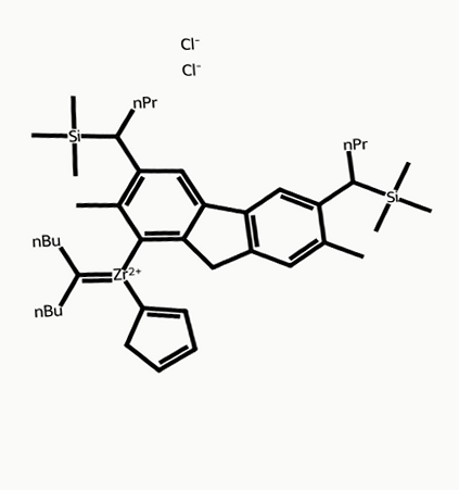 CCCC[C](CCCC)=[Zr+2]([C]1=CC=CC1)[c]1c(C)c(C(CCC)[Si](C)(C)C)cc2c1Cc1cc(C)c(C(CCC)[Si](C)(C)C)cc1-2.[Cl-].[Cl-]